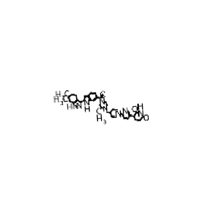 CC1CN(C(=O)c2ccc3cc(-c4n[nH]c5c4CCC(C)(C)C5)[nH]c3c2)CCN1CC1CCN(c2ccc(C3CCC(=O)NC3=O)cn2)CC1